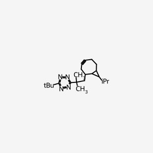 CC(C)C1C2CCC#CCC(CC(C)(C)c3nnc(C(C)(C)C)nn3)C21